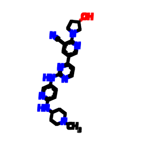 CN1CCC(Nc2ccc(Nc3nccc(-c4cnc(N5CC[C@H](O)C5)c(C#N)c4)n3)cn2)CC1